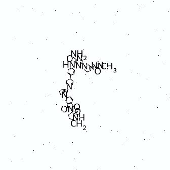 C=C1CCC(N2C(=O)c3ccc(N4CCC[C@@H]4CN4CCC(c5ccc(Nc6nc(N7CCC[C@H](N8CCN(C)C8=O)C7)cnc6C(N)=O)cc5)CC4)cc3C2=O)C(=O)N1